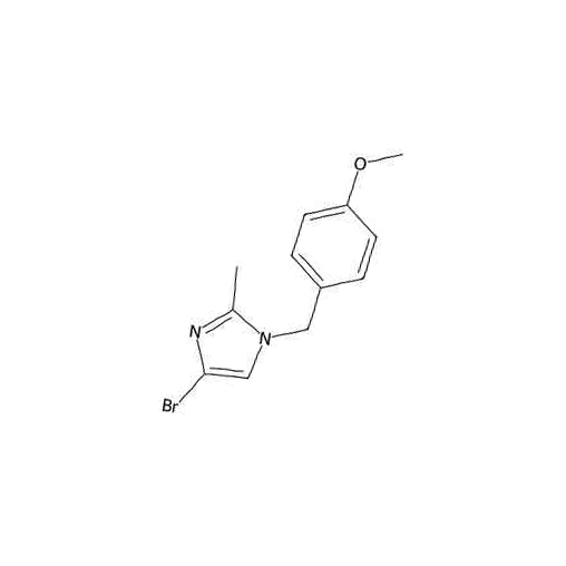 COc1ccc(Cn2cc(Br)nc2C)cc1